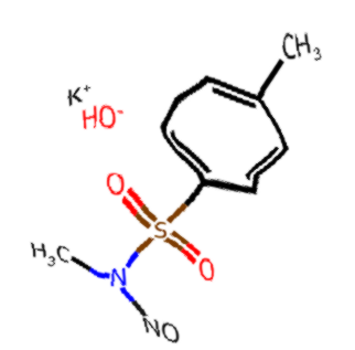 Cc1ccc(S(=O)(=O)N(C)N=O)cc1.[K+].[OH-]